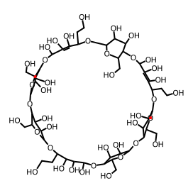 OCCC1OC2OC(CO)C(OC(O)/C(O)=C(/O)C(CCO)OC3OC(CO)C(OC4OC(CO)C(OC(O)C(O)C(O)C(CCO)OC5OC(CO)C(OC6OC(CO)C(OC(O)/C(O)=C\1O)C(O)C6O)C(O)C5O)C(O)C4O)C(O)C3O)C(O)C2O